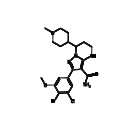 COc1cc(-c2nn3c(c2C(N)=O)NCCC3C2CCN(C)CC2)cc(Cl)c1Br